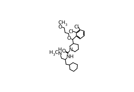 CNCC(CC1CCCCC1)NC(=O)N1CCCC(C(OCCCOC)c2cccc(Cl)c2Cl)C1